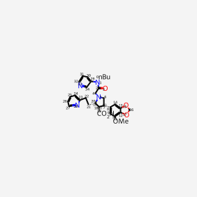 CCCCN(C(=O)CN1C[C@H](c2cc(OC)c3c(c2)OCO3)[C@@H](C(=O)O)[C@@H]1CCc1ccccn1)c1cccnc1